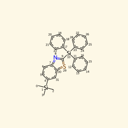 C[Si](C)(C)c1ccc2nc([Si](c3ccccc3)(c3ccccc3)c3ccccc3)sc2c1